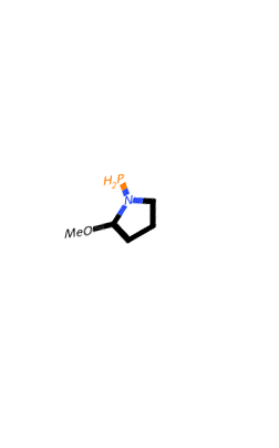 COC1CCCN1P